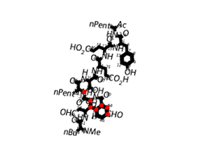 CCCCCC(NC(=O)C(Cc1ccc(O)cc1)NC(=O)C(CCC(=O)O)NC(=O)C(CCC(=O)O)NC(=O)C(NC(=O)C(CCCCC)NC(=O)C(Cc1ccccc1)NC(=O)C(CC=O)NC(=O)C(CC=O)NC(=O)C(CCCC)NC)C(C)O)C(C)=O